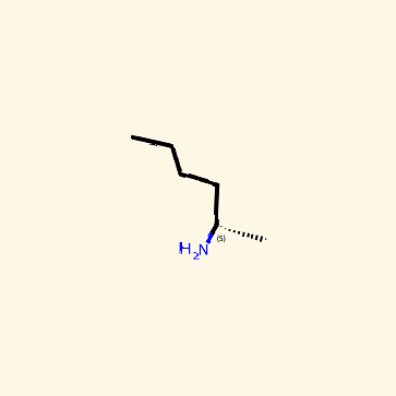 [CH2][C@H](N)CCCC